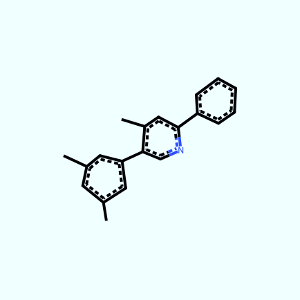 Cc1cc(C)cc(-c2cnc(-c3ccccc3)cc2C)c1